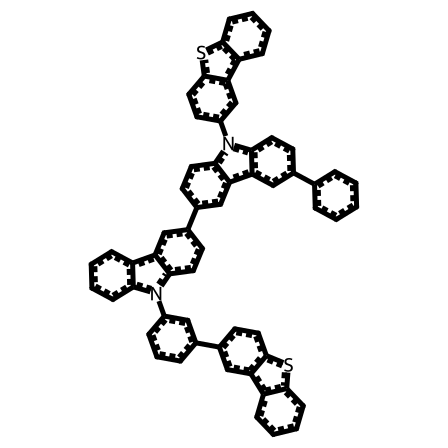 c1ccc(-c2ccc3c(c2)c2cc(-c4ccc5c(c4)c4ccccc4n5-c4cccc(-c5ccc6sc7ccccc7c6c5)c4)ccc2n3-c2ccc3sc4ccccc4c3c2)cc1